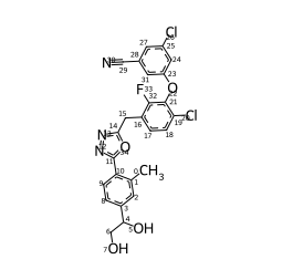 Cc1cc(C(O)CO)ccc1-c1nnc(Cc2ccc(Cl)c(Oc3cc(Cl)cc(C#N)c3)c2F)o1